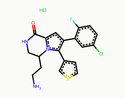 Cl.NCCC1CNC(=O)c2cc(-c3cc(Cl)ccc3F)c(-c3ccsc3)n21